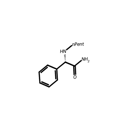 CCCCCN[C@H](C(N)=O)c1ccccc1